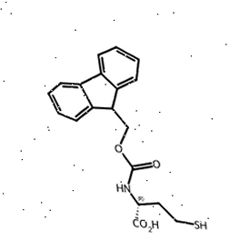 O=C(N[C@H](CCS)C(=O)O)OCC1c2ccccc2-c2ccccc21